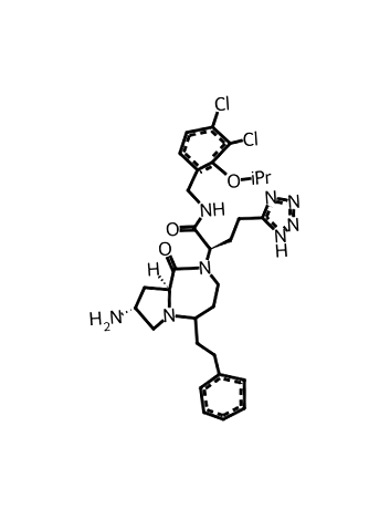 CC(C)Oc1c(CNC(=O)[C@@H](CCc2nnn[nH]2)N2CCC(CCc3ccccc3)N3C[C@H](N)C[C@H]3C2=O)ccc(Cl)c1Cl